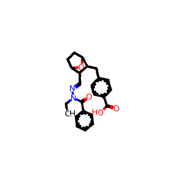 CCN(N=CC1C2CCC(O2)C1Cc1ccc(C(=O)O)cc1)C(=O)c1ccccc1